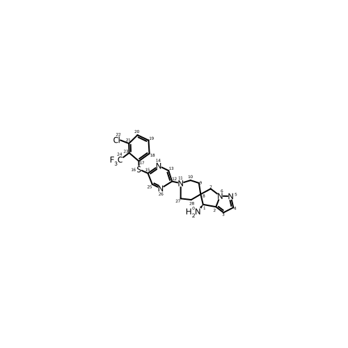 N[C@@H]1c2ccnn2CC12CCN(c1cnc(Sc3cccc(Cl)c3C(F)(F)F)cn1)CC2